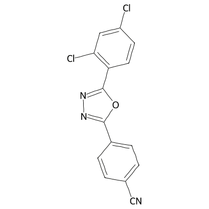 N#Cc1ccc(-c2nnc(-c3ccc(Cl)cc3Cl)o2)cc1